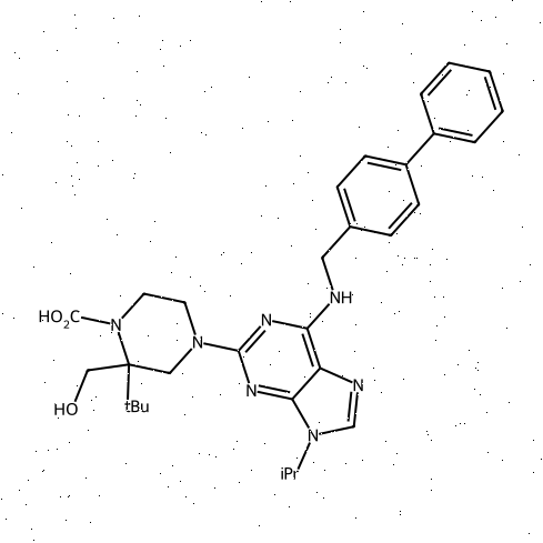 CC(C)n1cnc2c(NCc3ccc(-c4ccccc4)cc3)nc(N3CCN(C(=O)O)C(CO)(C(C)(C)C)C3)nc21